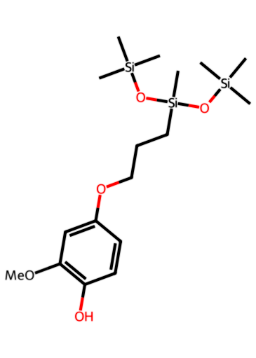 COc1cc(OCCC[Si](C)(O[Si](C)(C)C)O[Si](C)(C)C)ccc1O